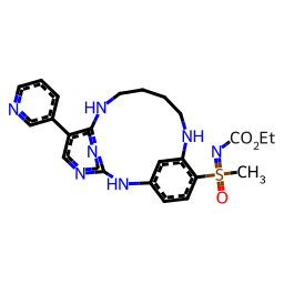 CCOC(=O)N=S(C)(=O)c1ccc2cc1NCCCCNc1nc(ncc1-c1cccnc1)N2